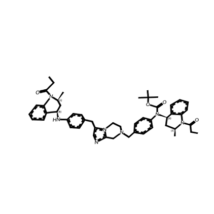 CCC(=O)N1c2ccccc2[C@H](N(C(=O)OC(C)(C)C)c2ccc(CN3CCn4c(Cc5ccc(N[C@@H]6C[C@H](C)N(C(=O)CC)c7ccccc76)cc5)cnc4C3)cc2)C[C@@H]1C